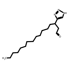 CCCCCCCCCCCCCC(CC=O)c1c[nH]nn1